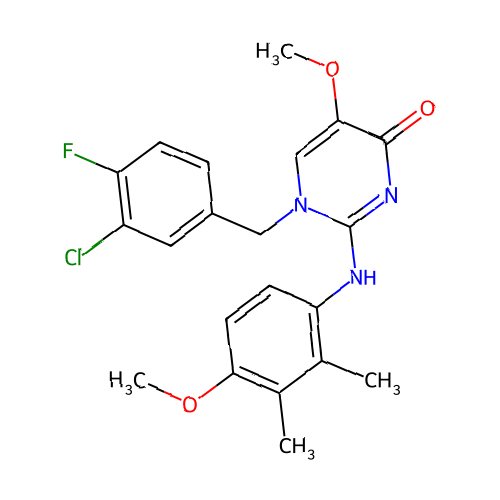 COc1ccc(Nc2nc(=O)c(OC)cn2Cc2ccc(F)c(Cl)c2)c(C)c1C